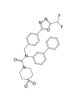 O=C(N1CCS(=O)(=O)CC1)N(Cc1ccc(-c2nnc(C(F)F)o2)cc1)c1cccc(-c2ccccc2)c1